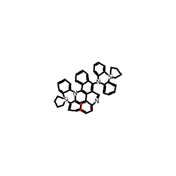 c1ccc2c(c1)N(c1c3ccccc3c(N3c4ccccc4[Si]4(CCCC4)c4ccccc43)c3c1cnc1ccccc13)c1ccccc1[Si]21CCCC1